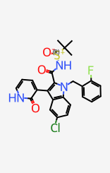 CC(C)(C)[S@+]([O-])NC(=O)c1c(-c2ccc[nH]c2=O)c2cc(Cl)ccc2n1Cc1ccccc1F